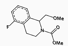 COCC1c2cccc(F)c2CCN1C(=O)OC